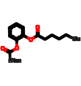 CCCCCCCCCC(=O)Oc1ccccc1OC(=O)CCCCC(C)(C)C